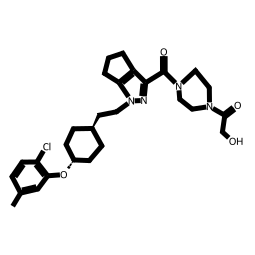 Cc1ccc(Cl)c(O[C@H]2CC[C@H](CCn3nc(C(=O)N4CCN(C(=O)CO)CC4)c4c3CCC4)CC2)c1